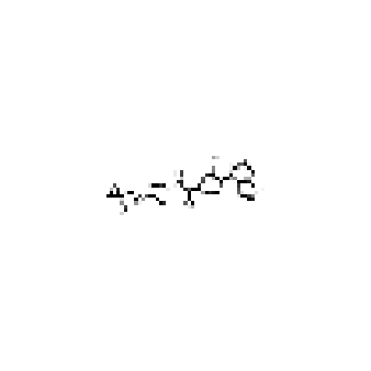 O=C(NC1CCC(OCC2(O)CC2)CC1)c1ccc(-c2nccc3occc23)c(F)c1